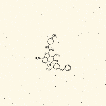 Cc1cc(Oc2ccccc2)ccc1C1(N)C(=O)C(N)c2c(C(=O)NC3CCN(C)CC3)sc3c(N)ccc1c23